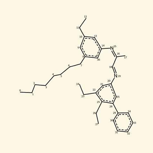 CCCCCCCCc1cc(CC)cc(N=C(C)C=Nc2cc(CC)c(CC)c(-c3ccccc3)c2)c1